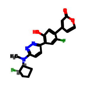 CN(c1ccc(-c2cc(F)c(-c3ccoc(=O)c3)cc2O)nn1)[C@@H]1CCC[C@@H]1F